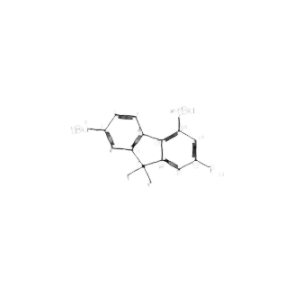 CC(C)(C)c1ccc2c(c1)C(C)(C)c1cc(F)cc(C(C)(C)C)c1-2